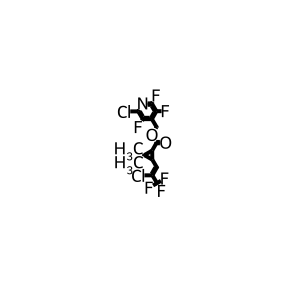 CC1(C)C(/C=C(\Cl)C(F)(F)F)C1C(=O)OCc1c(F)c(F)nc(Cl)c1F